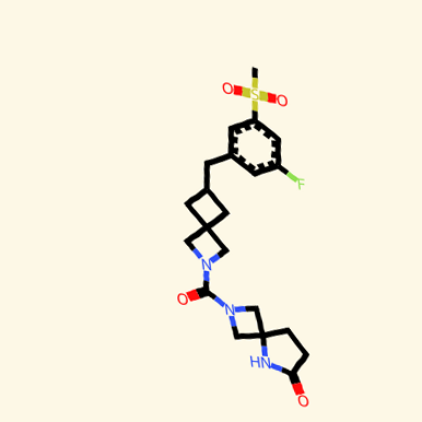 CS(=O)(=O)c1cc(F)cc(CC2CC3(C2)CN(C(=O)N2CC4(CCC(=O)N4)C2)C3)c1